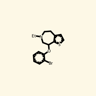 CCN1CCc2ccsc2C(Oc2ccccc2Br)C1